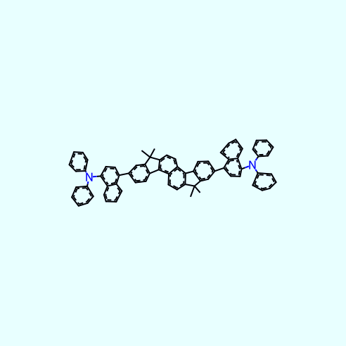 CC1(C)c2cc(-c3ccc(N(c4ccccc4)c4ccccc4)c4ccccc34)ccc2-c2c1ccc1c3c(ccc21)C(C)(C)c1cc(-c2ccc(N(c4ccccc4)c4ccccc4)c4ccccc24)ccc1-3